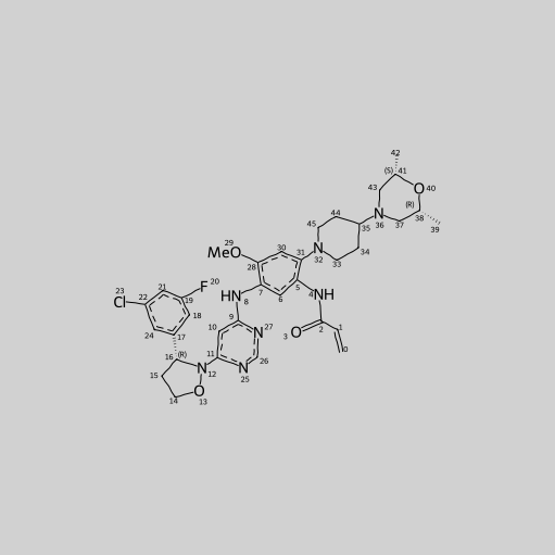 C=CC(=O)Nc1cc(Nc2cc(N3OCC[C@@H]3c3cc(F)cc(Cl)c3)ncn2)c(OC)cc1N1CCC(N2C[C@@H](C)O[C@@H](C)C2)CC1